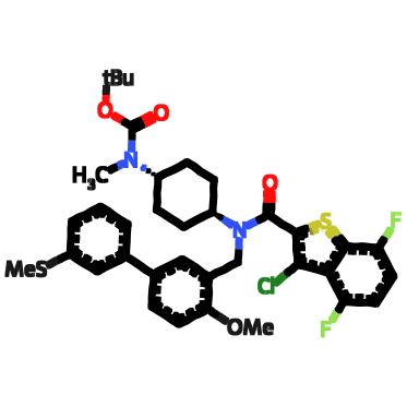 COc1ccc(-c2cccc(SC)c2)cc1CN(C(=O)c1sc2c(F)ccc(F)c2c1Cl)[C@H]1CC[C@H](N(C)C(=O)OC(C)(C)C)CC1